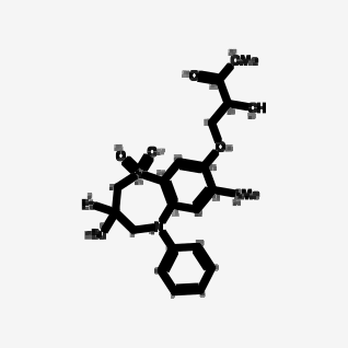 CCCCC1(CC)CN(c2ccccc2)c2cc(SC)c(OCC(O)C(=O)OC)cc2S(=O)(=O)C1